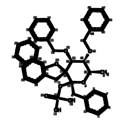 C[C@H]1O[C@](Cc2ccccc2)(OP(=O)(O)O)[C@](Cc2ccccc2)(OCc2ccccc2)[C@@H](OCc2ccccc2)[C@@H]1OCc1ccccc1